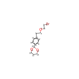 BrCCOCCc1ccc(C2OCCCO2)cc1